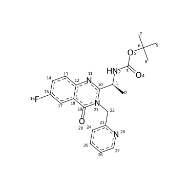 C[C@H](NC(=O)OC(C)(C)C)c1nc2ccc(F)cc2c(=O)n1Cc1ccccn1